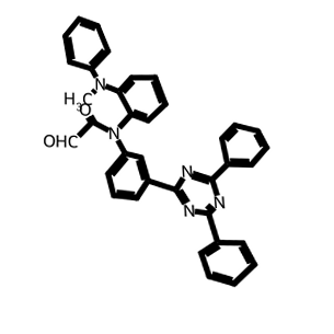 CN(c1ccccc1)c1ccccc1N(C(=O)C=O)c1cccc(-c2nc(-c3ccccc3)nc(-c3ccccc3)n2)c1